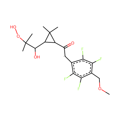 COCc1c(F)c(F)c([CH]C(=O)C2C(C(O)C(C)(C)OO)C2(C)C)c(F)c1F